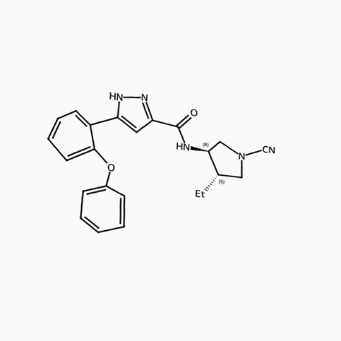 CC[C@H]1CN(C#N)C[C@@H]1NC(=O)c1cc(-c2ccccc2Oc2ccccc2)[nH]n1